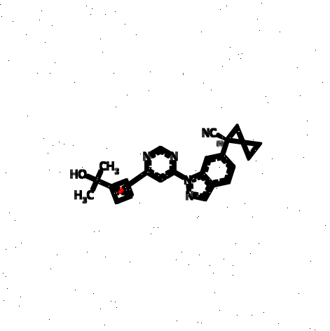 CC(C)(O)C12CC(C1)N(c1cc(-n3ncc4ccc([C@]5(C#N)CC56CC6)cc43)ncn1)C2